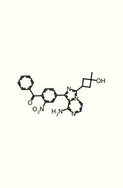 CC1(O)CC(c2nc(-c3ccc(C(=O)c4ccccc4)c([N+](=O)[O-])c3)c3c(N)nccn23)C1